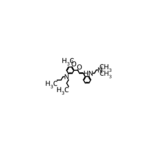 CCCCN(CCCC)c1ccc(OC)c(C(=O)C=Cc2ccccc2NCCN(C)C)c1